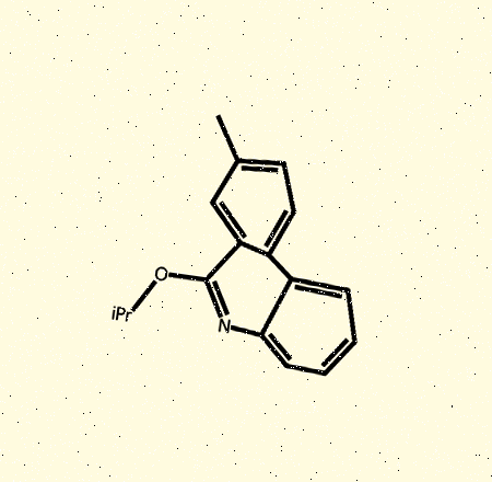 Cc1ccc2c(c1)c(OC(C)C)nc1ccccc12